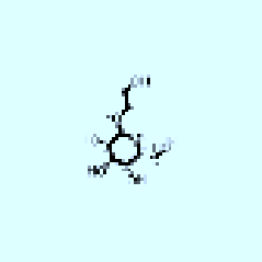 I.OCCOC1O[C@H](CO)[C@H](O)[C@H](O)[C@H]1O